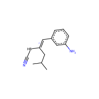 CC(C)C/C(BC#N)=C\c1cccc(N)c1